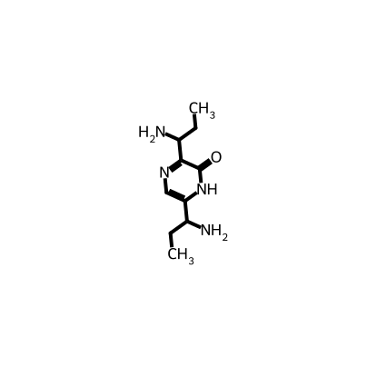 CCC(N)c1cnc(C(N)CC)c(=O)[nH]1